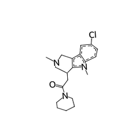 CN1Cc2c(n(C)c3ccc(Cl)cc23)C(CC(=O)N2CCCCC2)C1